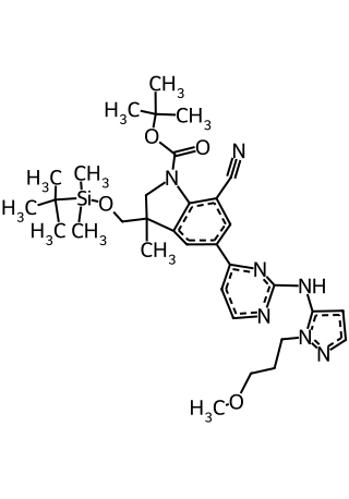 COCCCn1nccc1Nc1nccc(-c2cc(C#N)c3c(c2)C(C)(CO[Si](C)(C)C(C)(C)C)CN3C(=O)OC(C)(C)C)n1